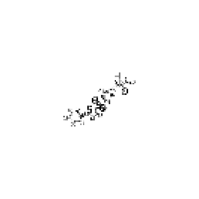 C=CC(=O)NC1C2CN(S(=O)(=O)c3ccc(-c4ccccc4)s3)CC21